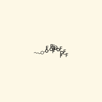 CCCCCC1CCC(c2ccc(-c3cc(F)c(C(F)(F)Oc4ccc(-c5cc(F)c(CCF)c(F)c5)c(F)c4)c(F)c3)c(F)c2)CC1